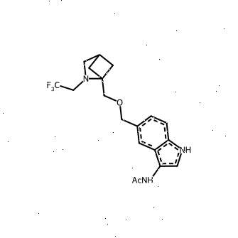 CC(=O)Nc1c[nH]c2ccc(COCC34CC(CN3CC(F)(F)F)C4)cc12